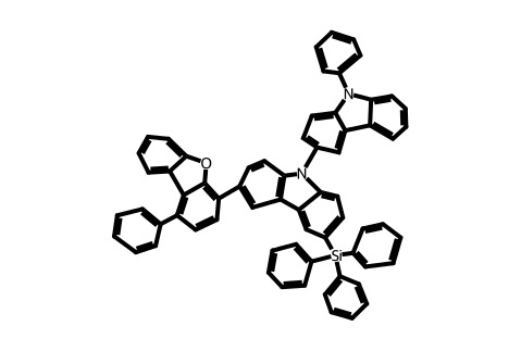 c1ccc(-c2ccc(-c3ccc4c(c3)c3cc([Si](c5ccccc5)(c5ccccc5)c5ccccc5)ccc3n4-c3ccc4c(c3)c3ccccc3n4-c3ccccc3)c3oc4ccccc4c23)cc1